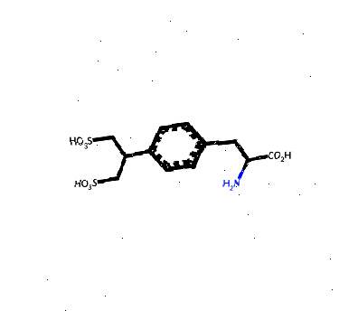 NC(Cc1ccc(C(CS(=O)(=O)O)CS(=O)(=O)O)cc1)C(=O)O